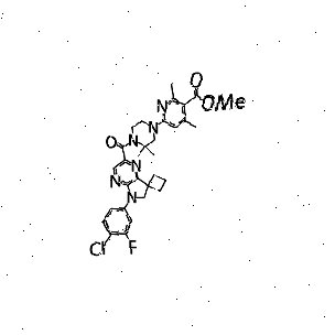 COC(=O)c1c(C)cc(N2CCN(C(=O)c3cnc4c(n3)C3(CCC3)CN4c3ccc(Cl)c(F)c3)C(C)(C)C2)nc1C